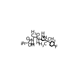 CC(C)[C@H](O)C(=O)N[C@@H](C)C(=O)Nc1cc(C(C)(C)c2ccc(F)cc2)n[nH]1